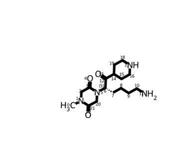 CN1CC(=O)N([C@@H](CCCCN)C(=O)C2CCNCC2)CC1=O